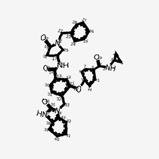 O=C(NC1CC1)c1ccc(Oc2cc(C(=O)NC3CC(=O)N(Cc4ccccc4)C3)ccc2Cn2c(=O)[nH]c3ccccc32)cc1